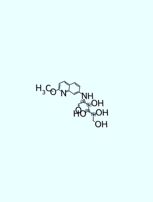 COc1ccc2ccc(N[C@H](C=O)[C@H](O)[C@@H](O)[C@@H](O)CO)cc2n1